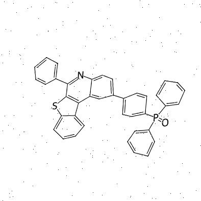 O=P(c1ccccc1)(c1ccccc1)c1ccc(-c2ccc3nc(-c4ccccc4)c4sc5ccccc5c4c3c2)cc1